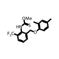 COC(=S)Nc1c(COc2ccc(C)cc2C)cccc1C(F)(F)F